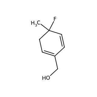 CC1(F)C=CC(CO)=CC1